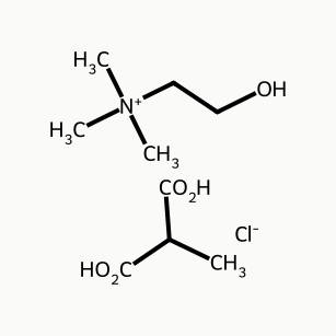 CC(C(=O)O)C(=O)O.C[N+](C)(C)CCO.[Cl-]